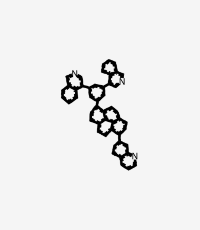 c1cnc2cc(-c3ccc4ccc5c(-c6cc(-c7cncc8ccccc78)cc(-c7cncc8ccccc78)c6)ccc6ccc3c4c65)ccc2c1